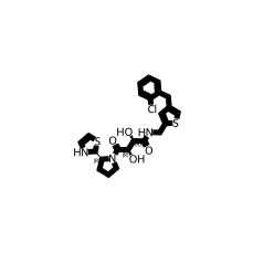 O=C(NCc1cc(Cc2ccccc2Cl)cs1)[C@H](O)[C@@H](O)C(=O)N1CCC[C@@H]1C1NC=CS1